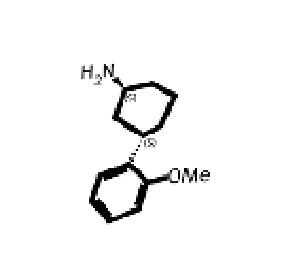 COc1ccccc1[C@H]1CCC[C@H](N)C1